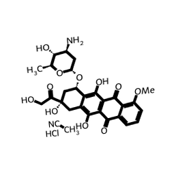 CC#N.COc1cccc2c1C(=O)c1c(O)c3c(c(O)c1C2=O)C[C@@](O)(C(=O)CO)C[C@@H]3O[C@H]1C[C@H](N)[C@@H](O)[C@H](C)O1.Cl